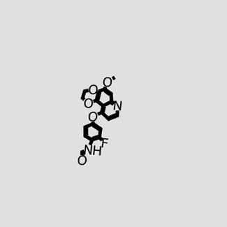 COc1cc2nccc(Oc3ccc(NC=O)c(F)c3)c2c2c1OCCO2